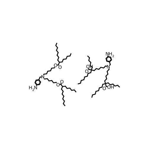 CCCCCCCCC(CCCCCC)(CCCCCCN(CCCCCCC(CCCCCC)(CCCCCCCC)C(=O)O)Cc1ccc(N)cc1)C(=O)O.CCCCCCCCC(CCCCCC)C(=O)OCCCCCCN(CCCCCCOC(=O)C(CCCCCC)CCCCCCCC)Cc1ccc(N)cc1